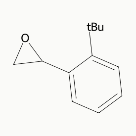 CC(C)(C)c1ccccc1C1CO1